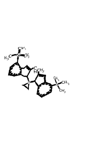 CC1=Cc2c(cccc2[Si](C)(C)C)[CH]1[Ti]1([CH]2C(C)=Cc3c2cccc3[Si](C)(C)C)[CH2][CH2]1